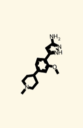 COc1cc(C2CCN(C)CC2)ccc1-c1cc(N)n[nH]1